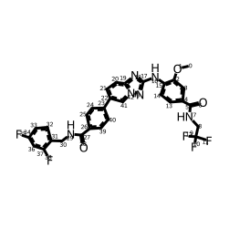 COc1cc(C(=O)NCC(F)(F)F)ccc1Nc1nc2ccc(-c3ccc(C(=O)NCc4ccc(F)cc4F)cc3)cn2n1